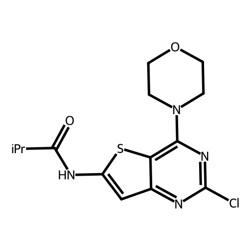 CC(C)C(=O)Nc1cc2nc(Cl)nc(N3CCOCC3)c2s1